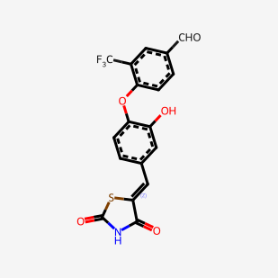 O=Cc1ccc(Oc2ccc(/C=C3\SC(=O)NC3=O)cc2O)c(C(F)(F)F)c1